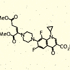 COC(=O)CC=C(C(=O)OC)N1CCN(c2c(F)cc3c(=O)c(C(=O)O)cn(C4CC4)c3c2F)CC1